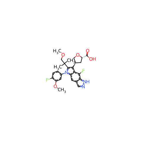 COCC(C)(C)c1c([C@H]2CO[C@H](C(=O)O)C2)c2c(F)c3[nH]ncc3cc2n1-c1ccc(F)c(OC)c1